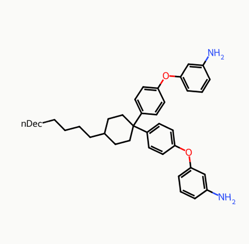 CCCCCCCCCCCCCCC1CCC(c2ccc(Oc3cccc(N)c3)cc2)(c2ccc(Oc3cccc(N)c3)cc2)CC1